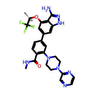 CNC(=O)c1ccc(-c2cc(O[C@@H](C)C(F)(F)F)c3c(N)n[nH]c3c2)cc1N1CCN(c2cnccn2)CC1